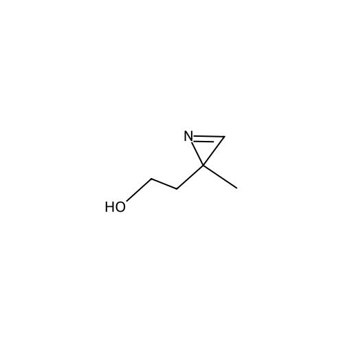 CC1(CCO)C=N1